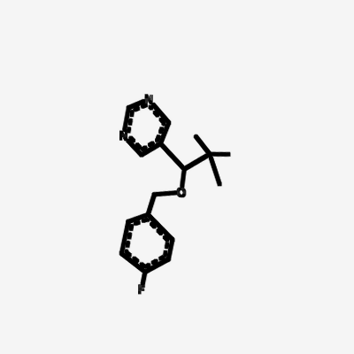 CC(C)(C)C(OCc1ccc(F)cc1)c1cncnc1